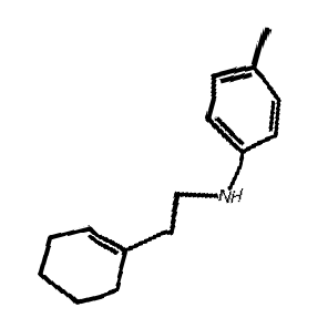 Cc1ccc(NCCC2=CCCCC2)cc1